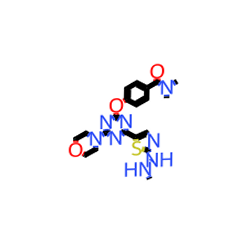 CNNc1ncc(-c2nc(Oc3ccc(C(=O)N(C)C)cc3)nc(N3CCOCC3)n2)s1